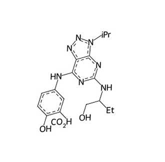 CCC(CO)Nc1nc(Nc2ccc(O)c(C(=O)O)c2)c2nnn(C(C)C)c2n1